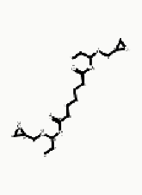 CCC(OCC1CO1)OC(=O)CCCCCC(=O)OC(CC)OCC1CO1